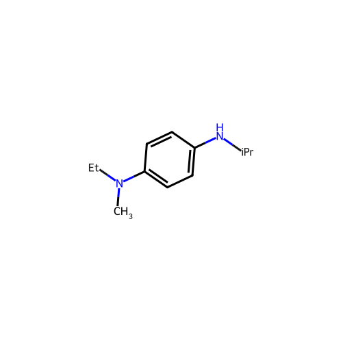 CCN(C)c1ccc(NC(C)C)cc1